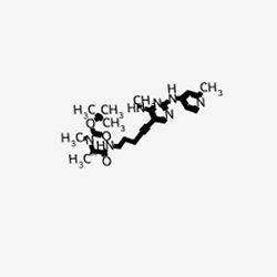 CNc1nc(Nc2ccnc(C)c2)ncc1C#CCCCNC(=O)[C@H](C)N(C)C(=O)OC(C)(C)C